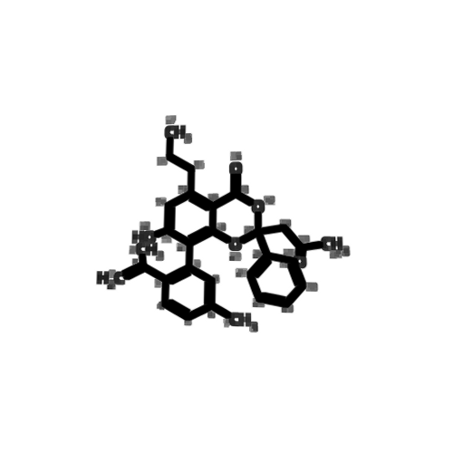 C=C(C)c1ccc(C)cc1-c1c(O)cc(CCC)c2c1OC(CC(C)=O)(c1ccccc1)OC2=O